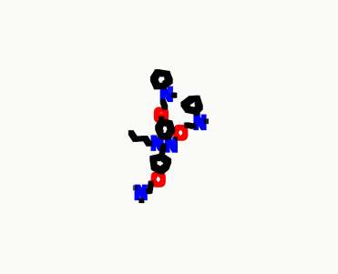 CCCCn1c(-c2ccc(OCCN(C)C)cc2)nc2c(OCCN(C)c3ccccc3)cc(OCCN(C)c3ccccc3)cc21